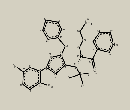 CC(C)(C)[C@H](c1nc(-c2cc(F)ccc2F)nn1Cc1ccccc1)N(CCCN)C(=O)c1cccnc1